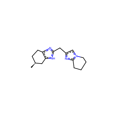 C[C@H]1CCc2nc(Cc3cn4c(n3)CCCC4)[nH]c2C1